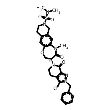 CN1C(=O)[C@@H](N2CCc3c(nn(Cc4ccccc4)c3Cl)C2=O)COc2cc3c(cc21)CN(S(=O)(=O)N(C)C)CC3